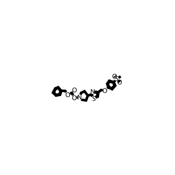 CS(=O)(=O)c1ccc(OCc2csc(C3CCN(OC(=O)OCc4ccccc4)CC3)n2)cc1